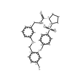 O=C(NCc1cccc(OCc2ccc(F)cc2)c1)[C@@H]1CCCN1S(=O)(=O)c1ccc(F)cc1